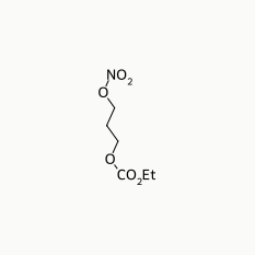 [CH2]COC(=O)OCCCO[N+](=O)[O-]